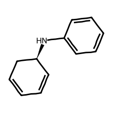 C1=CC[C@@H](Nc2ccccc2)C=C1